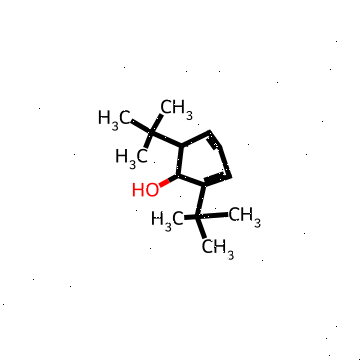 CC(C)(C)[C]1C=CC=C(C(C)(C)C)C1O